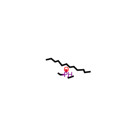 CCCCCCCCCCCC.CC[PH](=O)CC